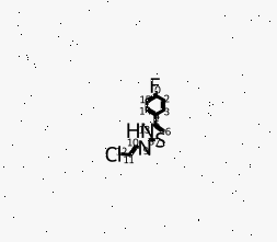 Fc1ccc(-c2csc(=NC=CCl)[nH]2)cc1